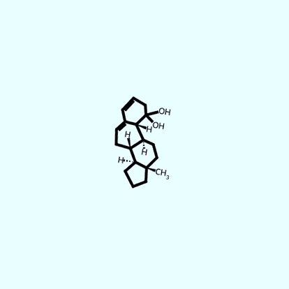 C[C@@]12CCC[C@H]1[C@@H]1CC=C3C=CCC(O)(O)[C@@H]3[C@H]1CC2